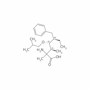 CC[C@H](Cc1ccccc1)[C@@H](OCC(C)C)[C@@H](C)C(C)(N)C(=O)O